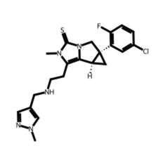 Cn1cc(CNCCc2c3n(c(=S)n2C)C[C@@]2(c4cc(Cl)ccc4F)C[C@@H]32)cn1